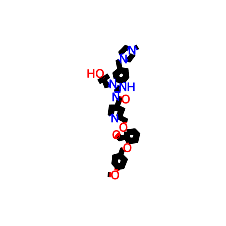 COc1ccc(COc2cccc(OCc3cc(C(=O)/N=c4\[nH]c5ccc(CN6CCN(C)CC6)cc5n4CC(C)(C)O)ccn3)c2C=O)cc1